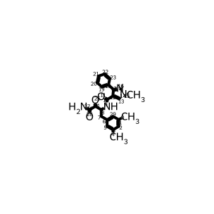 Cc1cc(C)cc(CC(NC(=O)c2cn(C)nc2-c2ccccc2)C(=O)C(N)=O)c1